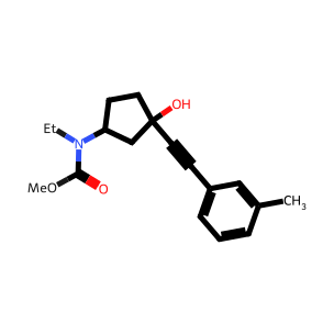 CCN(C(=O)OC)C1CCC(O)(C#Cc2cccc(C)c2)C1